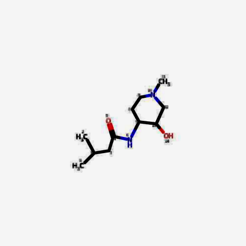 CC(C)CC(=O)NC1CCN(C)CC1O